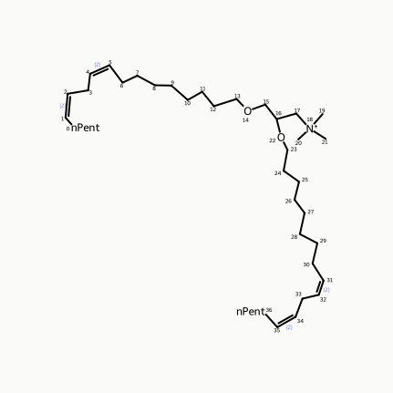 CCCCC/C=C\C/C=C\CCCCCCCCOCC(C[N+](C)(C)C)OCCCCCCCC/C=C\C/C=C\CCCCC